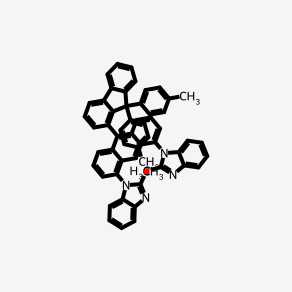 Cc1ccc(C2(c3ccc(C)cc3)c3ccccc3-c3cccc(-c4c5cccc(-n6c(C)nc7ccccc76)c5cc5c(-n6c(C)nc7ccccc76)cccc45)c32)cc1